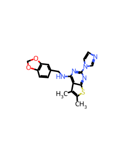 Cc1sc2nc(-n3ccnc3)nc(NCc3ccc4c(c3)OCO4)c2c1C